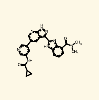 CN(C)C(=O)c1cccc2[nH]c(-c3n[nH]c4ncc(-c5cncc(NC(=O)C6CC6)c5)cc34)nc12